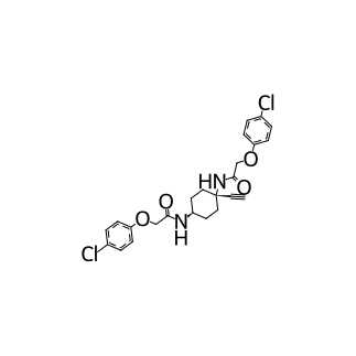 C#C[C@]1(NC(=O)COc2ccc(Cl)cc2)CC[C@H](NC(=O)COc2ccc(Cl)cc2)CC1